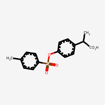 Cc1ccc(S(=O)(=O)Oc2ccc(C(C)C(=O)O)cc2)cc1